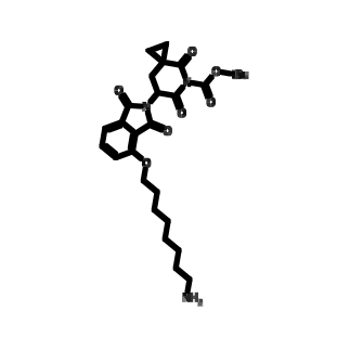 CC(C)(C)OC(=O)N1C(=O)C(N2C(=O)c3cccc(OCCCCCCCCN)c3C2=O)CC2(CC2)C1=O